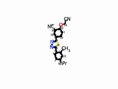 CCCc1ccc(-c2nnc(-c3ccc(OCC#N)c(C#N)c3)s2)c(C)c1